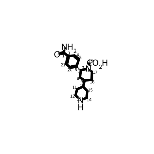 NC(=O)c1ccc([C@H]2CC(C3CCNCC3)CCN2C(=O)O)cc1